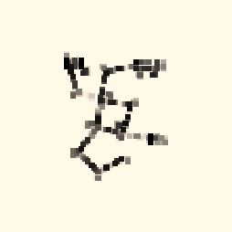 NC[C@]1(CC(=O)O)C[C@H]2CCCC21